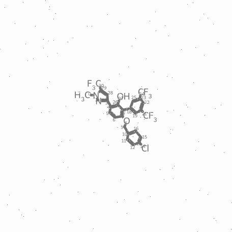 Cn1nc(-c2ccc(OCc3ccc(Cl)cc3)c(-c3cc(C(F)(F)F)cc(C(F)(F)F)c3)c2O)cc1C(F)(F)F